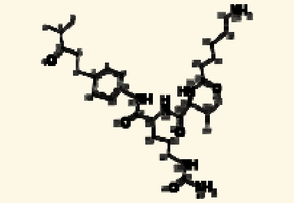 CC(C)C(=O)CCc1ccc(NC(=O)[C@H](CCCNC(N)=O)NC(=O)[C@@H](NC(=O)CCCCCN)C(C)C)cc1